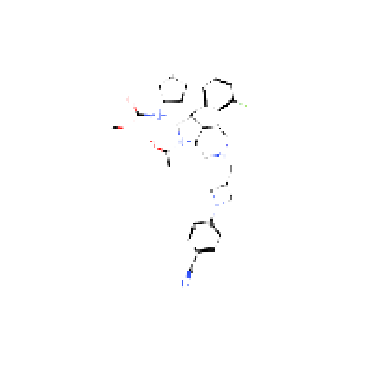 COC(=O)N[C@H]1CCC[C@@H]1C(CNC(C)=O)(c1cccc(F)c1)C1CCN(CC2CN(c3ccc(C#N)cc3)C2)CC1